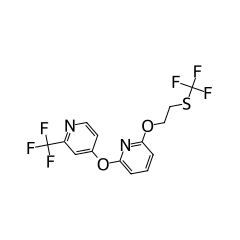 FC(F)(F)SCCOc1cccc(Oc2ccnc(C(F)(F)F)c2)n1